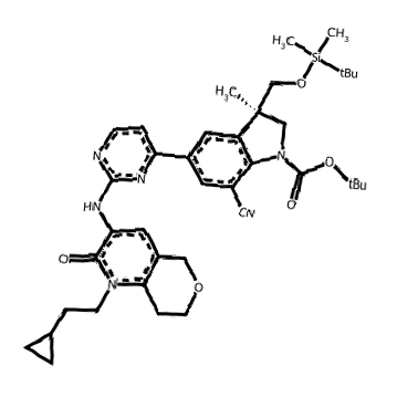 CC(C)(C)OC(=O)N1C[C@](C)(CO[Si](C)(C)C(C)(C)C)c2cc(-c3ccnc(Nc4cc5c(n(CCC6CC6)c4=O)CCOC5)n3)cc(C#N)c21